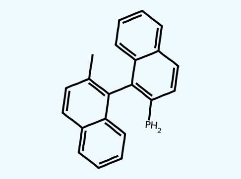 Cc1ccc2ccccc2c1-c1c(P)ccc2ccccc12